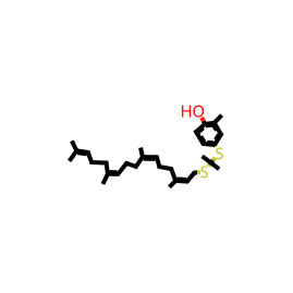 CC(C)=CCCC(C)=CCCC(C)=CCCC(C)=CCSC(C)(C)Sc1ccc(O)c(C)c1